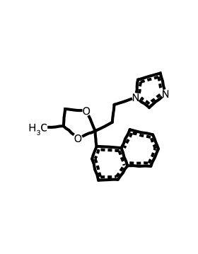 CC1COC(CCn2ccnc2)(c2cccc3ccccc23)O1